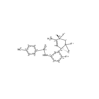 C[C@@]1(F)CC(F)(F)[C@@](C)(c2cc(NC(=O)c3ccc(C#N)cn3)ccc2F)N=C1N